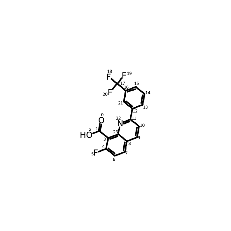 O=C(O)c1c(F)ccc2ccc(-c3cccc(C(F)(F)F)c3)nc12